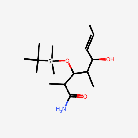 C/C=C/[C@@H](O)C(C)C(O[Si](C)(C)C(C)(C)C)C(C)C(N)=O